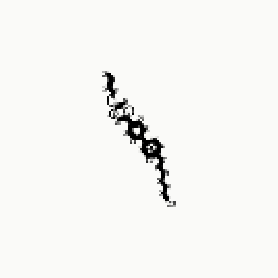 C/C=C/COC1COC(c2ccc(C34CCC(CCCCCCC)(CC3)CC4)cc2)CO1